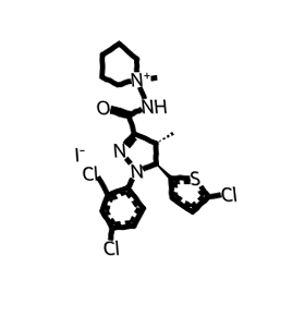 C[C@H]1C(C(=O)N[N+]2(C)CCCCC2)=NN(c2ccc(Cl)cc2Cl)[C@@H]1c1ccc(Cl)s1.[I-]